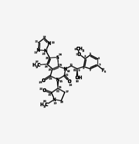 COc1ccc(F)cc1[C@@H](O)Cn1c(=O)n([C@H]2CCN(C)C2=O)c(=O)c2c(C)c(-n3nccn3)sc21